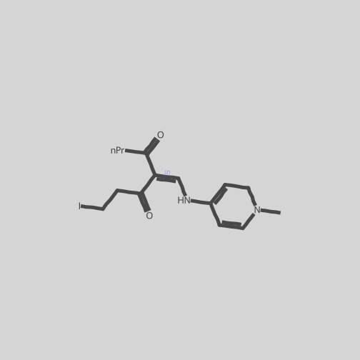 CCCC(=O)/C(=C/NC1=CCN(C)C=C1)C(=O)CCI